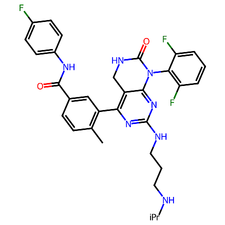 Cc1ccc(C(=O)Nc2ccc(F)cc2)cc1-c1nc(NCCCNC(C)C)nc2c1CNC(=O)N2c1c(F)cccc1F